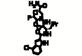 CC(C)C[C@H](NC(=O)c1cc2c(Cl)cccc2[nH]1)C(=O)NN(CCC(N)=O)C(=O)[C@H](F)Cl